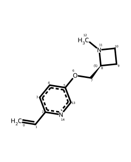 C=Cc1ccc(OC[C@@H]2CCN2C)cn1